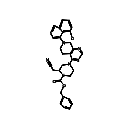 N#CC[C@H]1CN(c2ncnc3c2CCN(c2cncc4cccc(Cl)c24)C3)CCN1C(=O)OCc1ccccc1